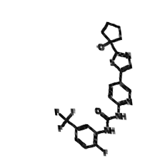 [O]C1(c2ncc(-c3ccc(NC(=O)Nc4cc(C(F)(F)F)ccc4F)nc3)s2)CCCC1